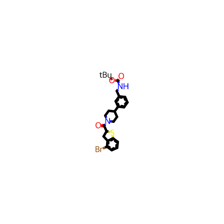 CC(C)(C)OC(=O)NCc1cccc(C2CCN(C(=O)C3Cc4c(Br)cccc4S3)CC2)c1